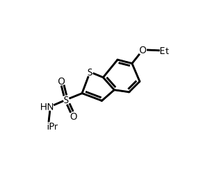 CCOc1ccc2cc(S(=O)(=O)NC(C)C)sc2c1